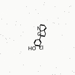 Oc1ccc(C2=CCc3cccnc3O2)cc1Cl